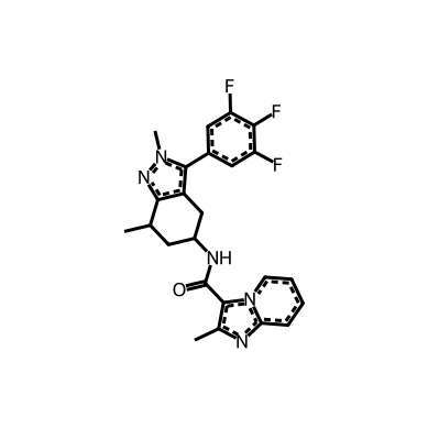 Cc1nc2ccccn2c1C(=O)NC1Cc2c(nn(C)c2-c2cc(F)c(F)c(F)c2)C(C)C1